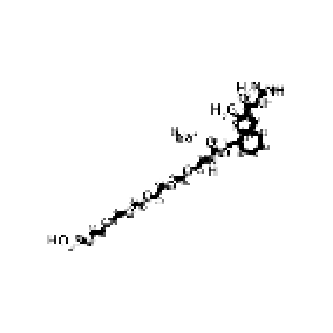 Cc1nc2c(cc1C(=O)NC(=N)N)CCCCC2COC(=O)NCCOCCOCCOCCOCCOCCOS(=O)(=O)O.[H+].[Na+]